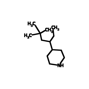 CCC(CC(C)(C)C)C1CCNCC1